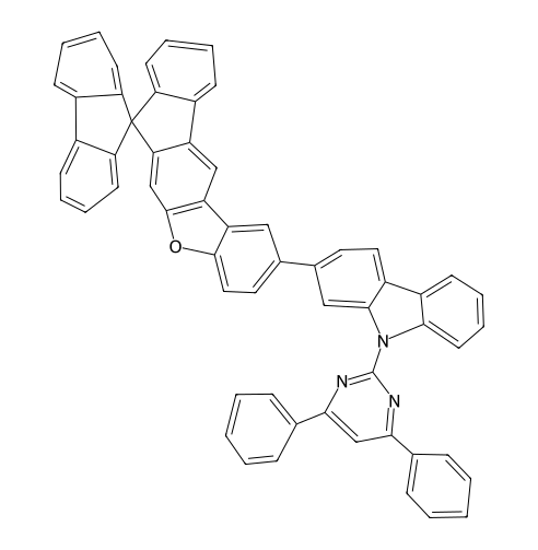 c1ccc(-c2cc(-c3ccccc3)nc(-n3c4ccccc4c4ccc(-c5ccc6oc7cc8c(cc7c6c5)-c5ccccc5C85c6ccccc6-c6ccccc65)cc43)n2)cc1